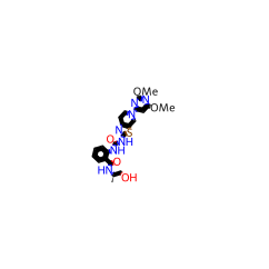 COc1cc(N2CCc3nc(NC(=O)Nc4ccccc4C(=O)N[C@@H](C)CO)sc3C2)nc(OC)n1